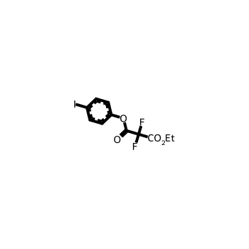 CCOC(=O)C(F)(F)C(=O)Oc1ccc(I)cc1